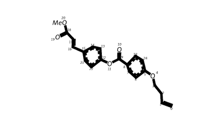 C=CCCOc1ccc(C(=O)Oc2ccc(C=CC(=O)OC)cc2)cc1